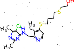 Cc1nc(C)c(Cl)c(NCc2nccc(SCCCCSCCO)c2C)n1